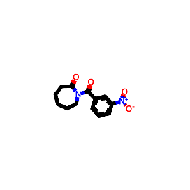 O=C1CCCCCN1C(=O)c1cccc([N+](=O)[O-])c1